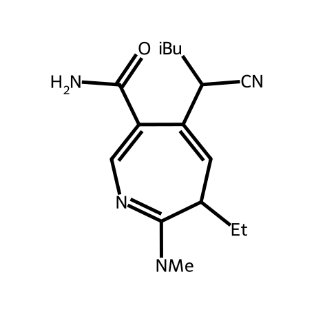 CCC1C=C(C(C#N)C(C)CC)C(C(N)=O)=CN=C1NC